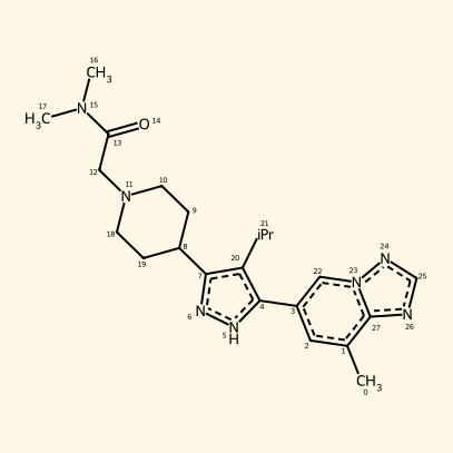 Cc1cc(-c2[nH]nc(C3CCN(CC(=O)N(C)C)CC3)c2C(C)C)cn2ncnc12